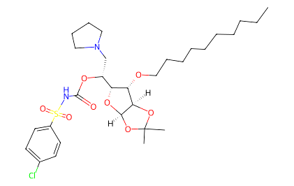 CCCCCCCCCCO[C@@H]1[C@H]2OC(C)(C)O[C@H]2O[C@@H]1[C@@H](CN1CCCC1)OC(=O)NS(=O)(=O)c1ccc(Cl)cc1